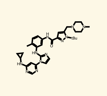 Cc1ccc(NC(=O)c2cc(CN3CCN(C)CC3)n(C(C)(C)C)n2)cc1Nc1nccn1-c1cc(NC2CC2)ncn1